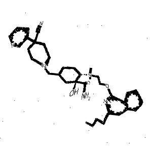 CCCCc1cc2ccccc2c(OCC[N+](C)(C)[C@H]2CCC(CN3CCC(C#N)(c4cccnc4)CC3)C[C@@]2(O)C(N)=O)n1